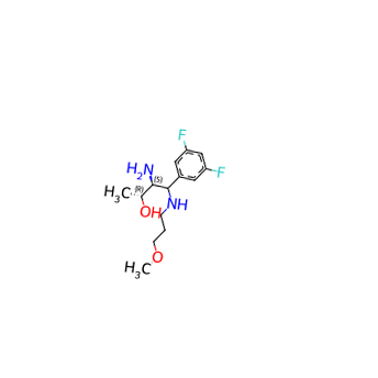 COCCCNC(c1cc(F)cc(F)c1)[C@H](N)[C@@H](C)O